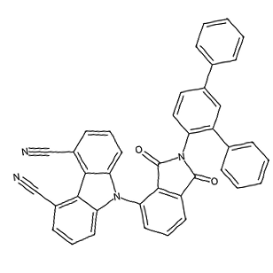 N#Cc1cccc2c1c1c(C#N)cccc1n2-c1cccc2c1C(=O)N(c1ccc(-c3ccccc3)cc1-c1ccccc1)C2=O